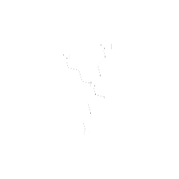 CCCCCCCCCCCC(Cl)N(CCCN)CCCN